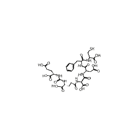 O=C(O)CC[C@@H](NC(=O)N[C@H](CCC(=O)NC(C(=O)O)C(=O)NC(CC(=O)O)C(=O)NC(Cc1ccccc1)C(=O)NC(CS)C(=O)O)C(=O)O)C(=O)O